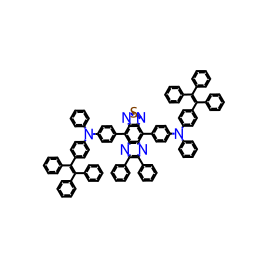 c1ccc(C(=C(c2ccccc2)c2ccc(N(c3ccccc3)c3ccc(-c4c5nsnc5c(-c5ccc(N(c6ccccc6)c6ccc(C(=C(c7ccccc7)c7ccccc7)c7ccccc7)cc6)cc5)c5nc(-c6ccccc6)c(-c6ccccc6)nc45)cc3)cc2)c2ccccc2)cc1